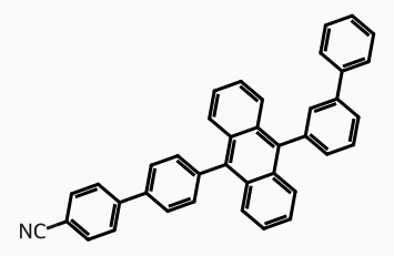 N#Cc1ccc(-c2ccc(-c3c4ccccc4c(-c4cccc(-c5ccccc5)c4)c4ccccc34)cc2)cc1